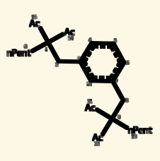 CCCCCC(Cc1cccc(CC(CCCCC)(C(C)=O)C(C)=O)c1)(C(C)=O)C(C)=O